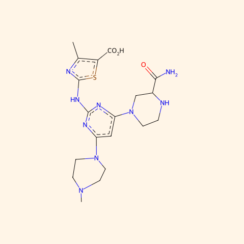 Cc1nc(Nc2nc(N3CCN(C)CC3)cc(N3CCNC(C(N)=O)C3)n2)sc1C(=O)O